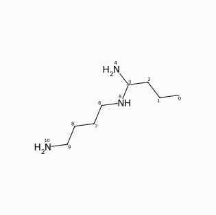 CCCC(N)NCCCCN